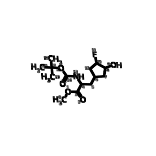 COC(=O)C(CC1CC(O)C(F)C1)NC(=O)OC(C)(C)C